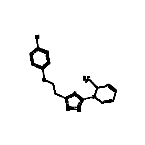 FC(F)(F)C1C=CC=CN1c1nnc(CCOc2ccc(Cl)cc2)s1